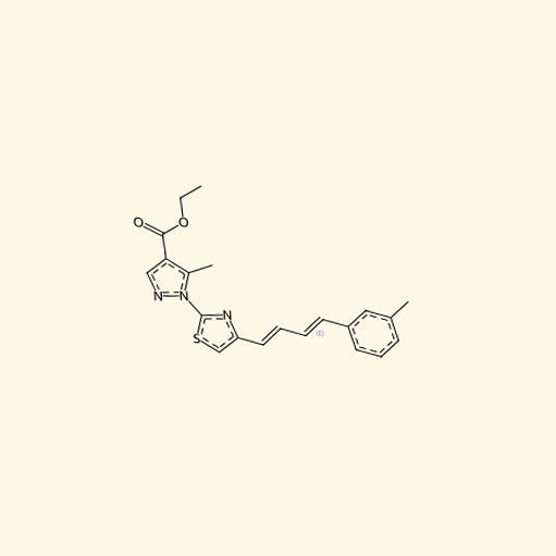 CCOC(=O)c1cnn(-c2nc(C=C/C=C/c3cccc(C)c3)cs2)c1C